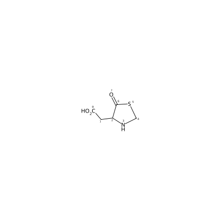 O=C(O)CC1NCSC1=O